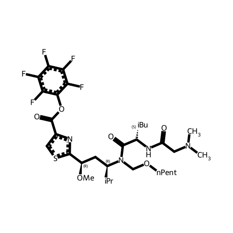 CCCCCOCN(C(=O)C(NC(=O)CN(C)C)[C@@H](C)CC)[C@H](C[C@@H](OC)c1nc(C(=O)Oc2c(F)c(F)c(F)c(F)c2F)cs1)C(C)C